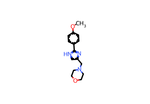 COc1ccc(-c2nc(CN3CCOCC3)c[nH]2)cc1